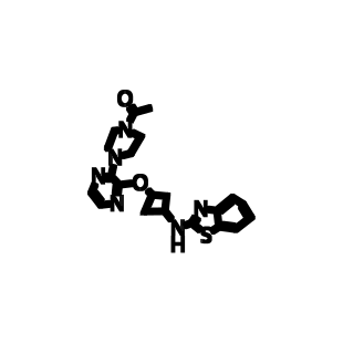 CC(=O)N1CCN(c2nccnc2OC2CC(Nc3nc4ccccc4s3)C2)CC1